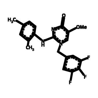 COc1cn(Cc2cc(F)c(F)c(F)c2)c(Nc2ccc(C)cc2C)nc1=O